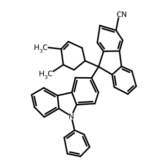 CC1=CCC(C2(c3ccc4c(c3)c3ccccc3n4-c3ccccc3)c3ccccc3-c3cc(C#N)ccc32)CC1C